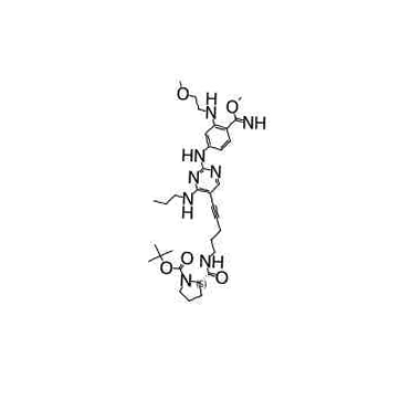 CCCNc1nc(Nc2ccc(C(=N)OC)c(NCCOC)c2)ncc1C#CCCCNC(=O)[C@@H]1CCCN1C(=O)OC(C)(C)C